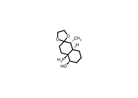 C[C@@H]1[C@H]2CCC[C@@H](O)[C@]2(P)CCC12OCCO2